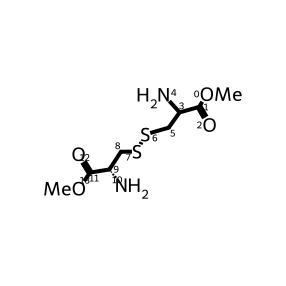 COC(=O)C(N)CSSC[C@H](N)C(=O)OC